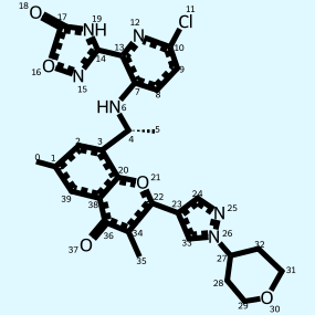 Cc1cc([C@@H](C)Nc2ccc(Cl)nc2-c2noc(=O)[nH]2)c2oc(-c3cnn(C4CCOCC4)c3)c(C)c(=O)c2c1